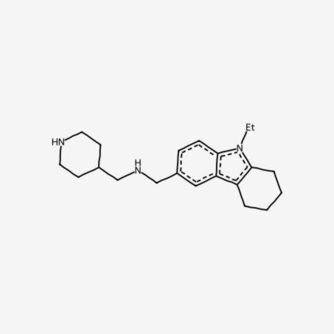 CCn1c2c(c3cc(CNCC4CCNCC4)ccc31)CCCC2